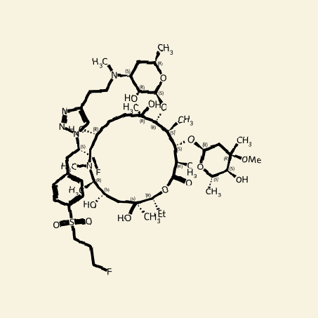 CC[C@H]1OC(=O)[C@H](C)[C@@H](O[C@H]2C[C@@](C)(OC)[C@@H](O)[C@H](C)O2)[C@H](C)[C@@H](O[C@@H]2O[C@H](C)C[C@H](N(C)CCc3cn([C@H](CF)Cc4ccc(S(=O)(=O)CCCF)cc4)nn3)[C@H]2O)[C@](C)(O)CC[C@@H](C)CN(C)[C@H](C)[C@@H](O)C[C@]1(C)O